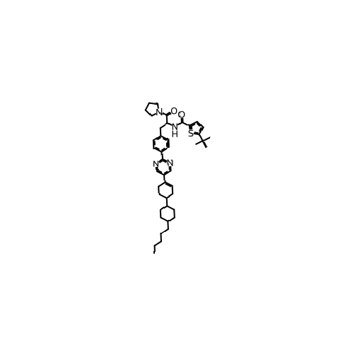 CCCCCC1CCC(C2CC=C(c3cnc(-c4ccc(CC(NC(=O)c5ccc(C(C)(C)C)s5)C(=O)N5CCCC5)cc4)nc3)CC2)CC1